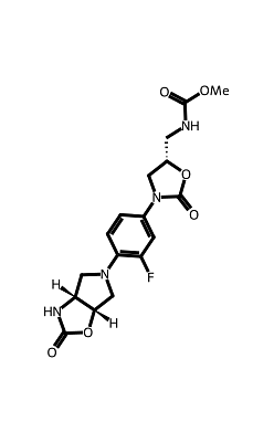 COC(=O)NC[C@H]1CN(c2ccc(N3C[C@@H]4OC(=O)N[C@@H]4C3)c(F)c2)C(=O)O1